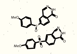 COc1ccc(S(=O)(=O)c2ccc3c(=O)[nH]ncc3c2)cc1.COc1ccc([S+]([O-])c2ccc3c(=O)[nH]ncc3c2)cc1